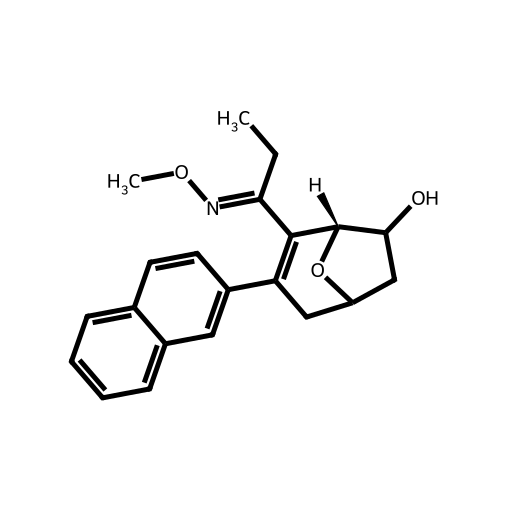 CCC(=NOC)C1=C(c2ccc3ccccc3c2)CC2CC(O)[C@@H]1O2